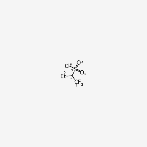 CCC(C(F)(F)F)S(=O)(=O)Cl